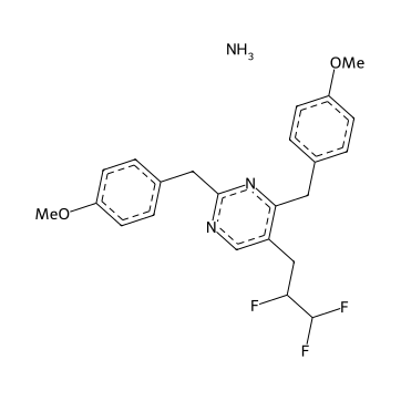 COc1ccc(Cc2ncc(CC(F)C(F)F)c(Cc3ccc(OC)cc3)n2)cc1.N